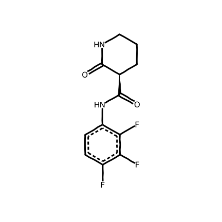 O=C1NCCC[C@H]1C(=O)Nc1ccc(F)c(F)c1F